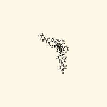 Cc1cc(N2CCN(C)CC2)nc2ccc(N(CCCN(c3ccc4nc(N5CCN(C)CC5)cc(C)c4c3)S(=O)(=O)c3ccccc3[N+](=O)[O-])S(=O)(=O)c3ccccc3[N+](=O)[O-])cc12